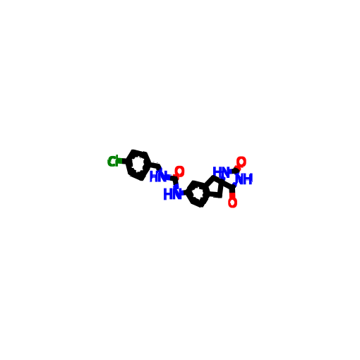 O=C(NCc1ccc(Cl)cc1)Nc1ccc2c(c1)CC1(C2)NC(=O)NC1=O